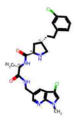 C[C@H](NC(=O)[C@H]1C[C@H](CCc2cccc(Cl)c2)CN1)C(=O)NCc1cnc2c(c1)c(Cl)cn2C